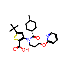 C[C@@H](CCOc1ccccn1)N(c1cc(C(C)(C)C)sc1C(=O)O)C(=O)[C@H]1CC[C@H](C)CC1